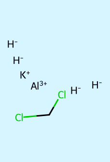 ClCCl.[Al+3].[H-].[H-].[H-].[H-].[K+]